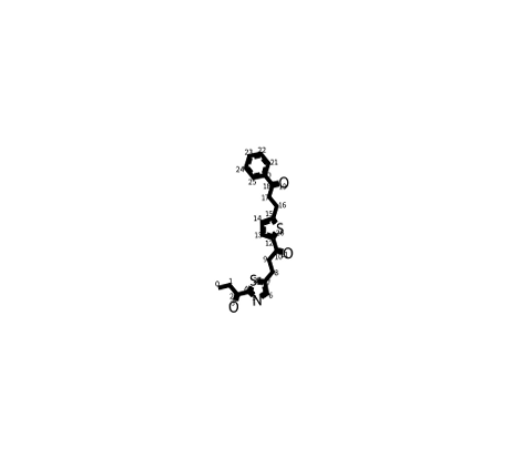 CCC(=O)c1ncc(CCC(=O)c2ccc(CCC(=O)c3ccccc3)s2)s1